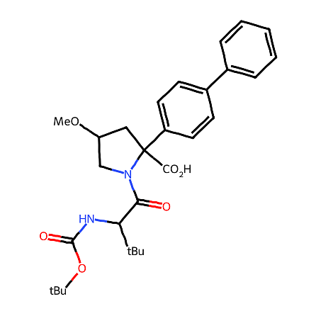 COC1CN(C(=O)C(NC(=O)OC(C)(C)C)C(C)(C)C)C(C(=O)O)(c2ccc(-c3ccccc3)cc2)C1